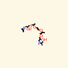 CC(COCC(O)CN(C)C(C)C)OCCOC(C)COCC(O)CN1CC1C